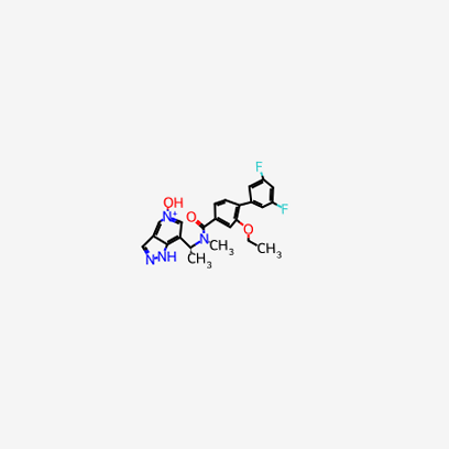 CCOc1cc(C(=O)N(C)[C@H](C)c2c[n+](O)cc3cn[nH]c23)ccc1-c1cc(F)cc(F)c1